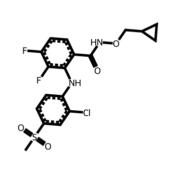 CS(=O)(=O)c1ccc(Nc2c(C(=O)NOCC3CC3)ccc(F)c2F)c(Cl)c1